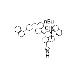 CCCCC(CCCC1CCC([C@@H]2CCCC3=C2CCCC3)CC1)C(C)C1CCCC/C1=C(/CNC1C=CCC2C=CC=CC21)C1CCC(C2CNC2)=C2CCCCC21